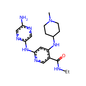 CCNC(=O)c1cnc(Nc2cnc(N)cn2)cc1NC1CCN(C)CC1